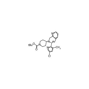 Cc1cc(Cl)cnc1CN(Cc1ncccc1C(C)C)C1CCN(C(=O)OC(C)(C)C)CC1